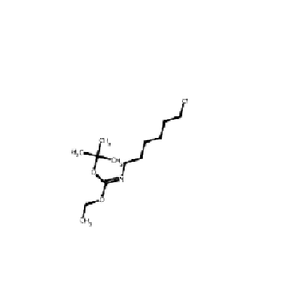 CCOC(=NCCCCCCCl)OC(C)(C)C